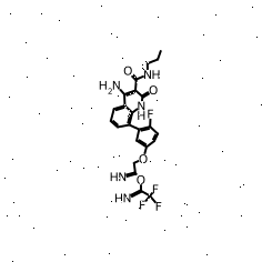 CCCNC(=O)c1c(N)c2cccc(-c3cc(OCC(=N)OC(=N)C(F)(F)F)ccc3F)c2[nH]c1=O